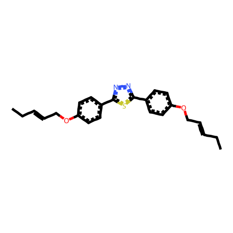 CCC=CCOc1ccc(-c2nnc(-c3ccc(OCC=CCC)cc3)s2)cc1